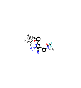 CN(C(=O)C(F)(F)F)c1cccc(-c2cc(-c3ccccc3O[Si](C)(C)C(C)(C)C)nc(N)c2C#N)c1